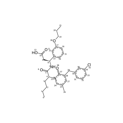 CCCCC(C(=O)N[C@@H](CC(=O)O)c1cccc(OCCC)c1)n1cc(C)cc(Cc2cccc(Cl)c2)c1=O